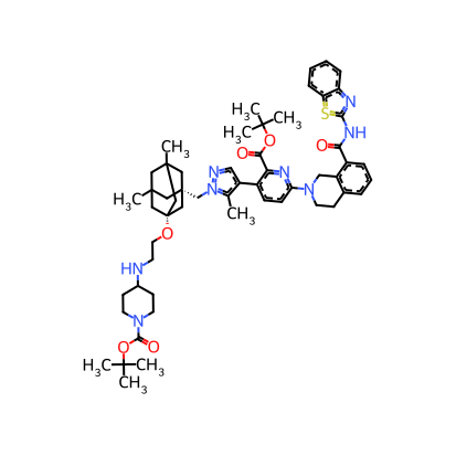 Cc1c(-c2ccc(N3CCc4cccc(C(=O)Nc5nc6ccccc6s5)c4C3)nc2C(=O)OC(C)(C)C)cnn1C[C@]12CC3(C)CC(C)(C1)C[C@](OCCNC1CCN(C(=O)OC(C)(C)C)CC1)(C3)C2